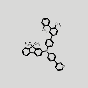 Cc1ccccc1-c1cc(-c2ccc(N(c3ccc4c(c3)C(C)(C)c3ccccc3-4)C3C=CC(c4cccnc4)=CC3)cc2)ccc1C